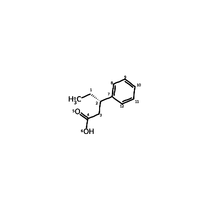 CC[C@@H](CC(=O)O)c1ccccc1